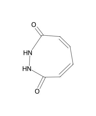 O=C1C=CC=CC(=O)NN1